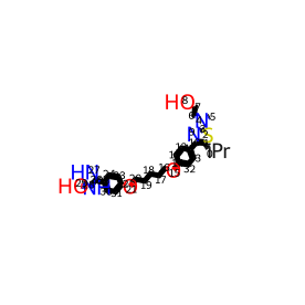 CC(C)c1sc(N(C)CCO)nc1-c1ccc(OCCCCCOc2ccc(C(=N)NO)cc2)cc1